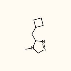 IN1CN=NC1CC1CCC1